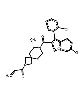 C=CC(=O)N1CC2(CCN(C(=O)c3nn4cc(Cl)ccc4c3-c3ccccc3Cl)[C@@H](C)C2)C1